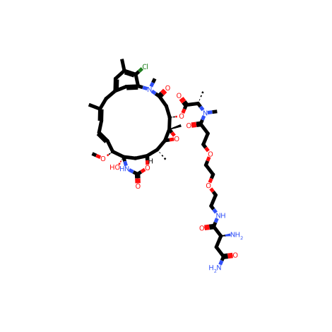 CO[C@@H]1/C=C/C=C(\C)Cc2cc(C)c(Cl)c(c2)N(C)C(=O)C[C@H](OC(=O)[C@H](C)N(C)C(=O)CCOCCOCCNC(=O)[C@@H](N)CC(N)=O)[C@]2(C)OC2[C@H](C)[C@@H]2C[C@@]1(O)NC(=O)O2